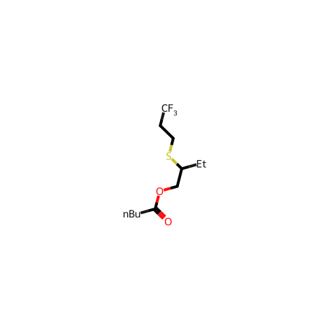 CCCCC(=O)OCC(CC)SCCC(F)(F)F